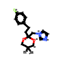 CCC1(CC)COC(CCc2ccc(F)cc2)(Cn2ccnc2)OC1